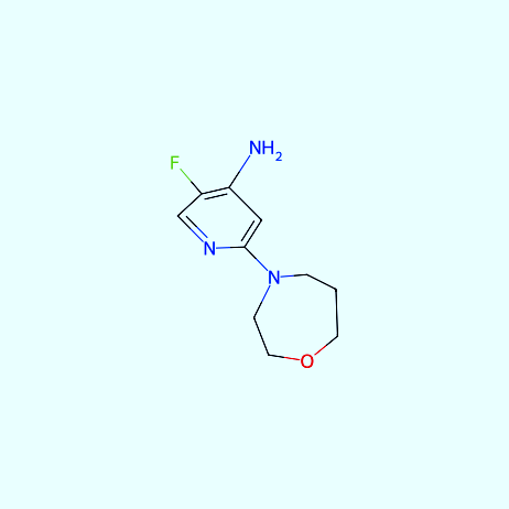 Nc1cc(N2CCCOCC2)ncc1F